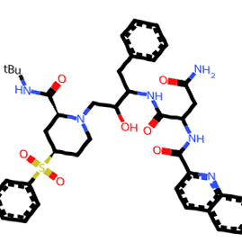 CC(C)(C)NC(=O)[C@@H]1C[C@H](S(=O)(=O)c2ccccc2)CCN1CC(O)C(Cc1ccccc1)NC(=O)C(CC(N)=O)NC(=O)c1ccc2ccccc2n1